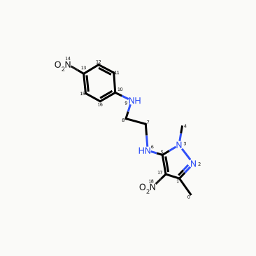 Cc1nn(C)c(NCCNc2ccc([N+](=O)[O-])cc2)c1[N+](=O)[O-]